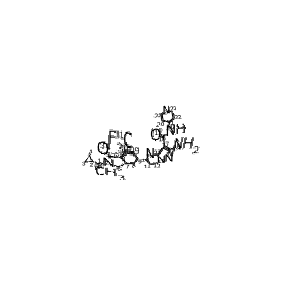 C[C@@H](C1CC1)N1Cc2cc(-c3ccn4nc(N)c(C(=O)Nc5ccncc5)c4n3)cc(C(F)(F)F)c2C1=O